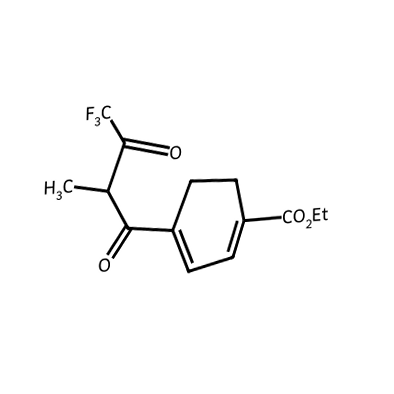 CCOC(=O)C1=CC=C(C(=O)C(C)C(=O)C(F)(F)F)CC1